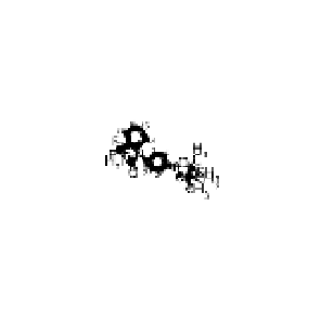 CC1(C)OB(c2ccc(N(C(N)=O)c3ccccc3C(F)(F)F)cc2)OC1(C)C